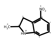 CC1Cc2c(cccc2[N+](=O)[O-])N1